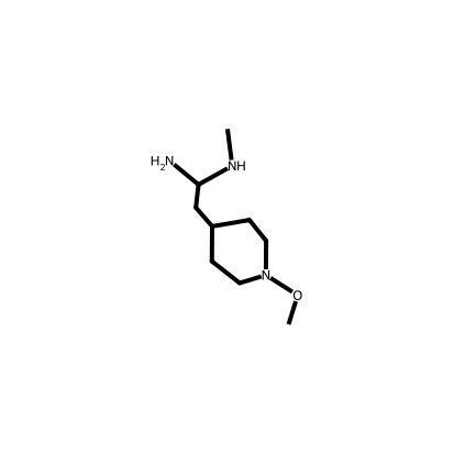 CNC(N)CC1CCN(OC)CC1